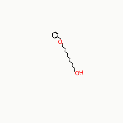 OCCCCCCCCCCCCOCc1ccccc1